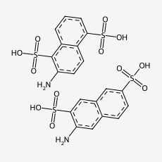 Nc1cc2ccc(S(=O)(=O)O)cc2cc1S(=O)(=O)O.Nc1ccc2c(S(=O)(=O)O)cccc2c1S(=O)(=O)O